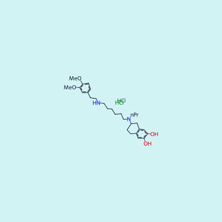 CCCN(CCCCCCNCCc1ccc(OC)c(OC)c1)C1CCc2cc(O)c(O)cc2C1.Cl.Cl